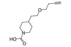 C#CCCOCCC1CCN(C(=O)O)CC1